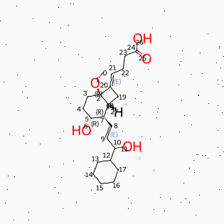 CO[C@]12CC[C@@H](O)[C@H](/C=C/C(O)C3CCCCC3)[C@H]1C/C2=C\CCC(=O)O